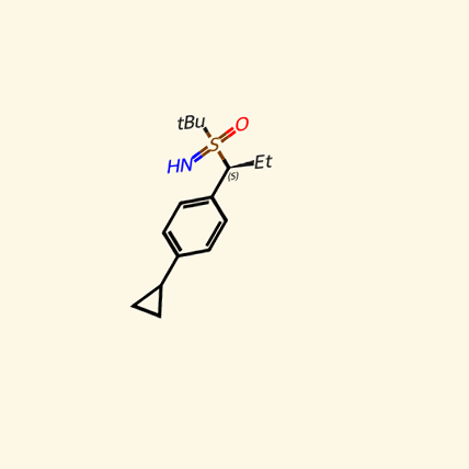 CC[C@@H](c1ccc(C2CC2)cc1)S(=N)(=O)C(C)(C)C